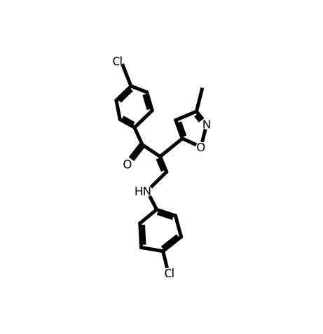 Cc1cc(C(=CNc2ccc(Cl)cc2)C(=O)c2ccc(Cl)cc2)on1